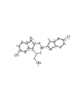 OCC1CN(c2nc3ccc(Cl)cc3s2)Cc2[nH]c3ccc(Cl)cc3c21